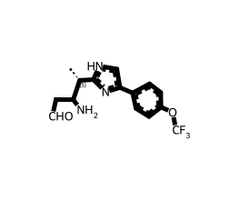 C[C@H](c1nc(-c2ccc(OC(F)(F)F)cc2)c[nH]1)C(N)CC=O